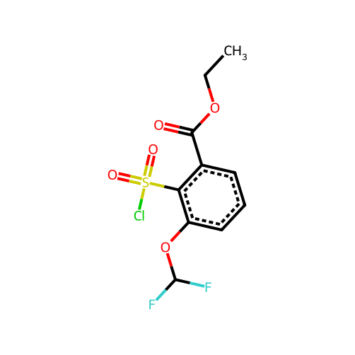 CCOC(=O)c1cccc(OC(F)F)c1S(=O)(=O)Cl